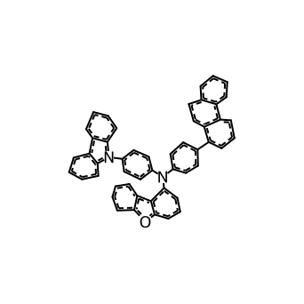 c1ccc2c(c1)ccc1c(-c3ccc(N(c4ccc(-n5c6ccccc6c6ccccc65)cc4)c4cccc5oc6ccccc6c45)cc3)cccc12